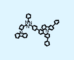 c1ccc(-c2ccc(-n3c4ccccc4c4cc(-c5ccccc5)ccc43)c(-c3ccc(-c4ccc(-c5nc(-c6ccccc6)nc(-c6cccc(-n7c8ccccc8c8ccccc87)c6)n5)cc4)cc3)c2)cc1